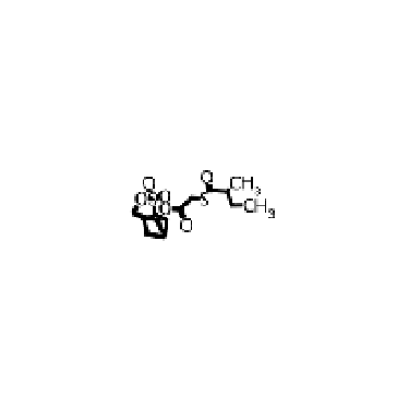 CCC(C)C(=O)SCC(=O)OC1C2CC3C1OS(=O)(=O)C3C2